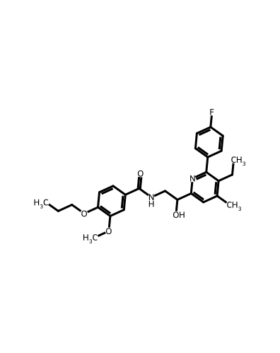 CCCOc1ccc(C(=O)NCC(O)c2cc(C)c(CC)c(-c3ccc(F)cc3)n2)cc1OC